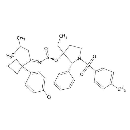 CCC1(O[S@](=O)/N=C(\CC(C)C)C2(c3ccc(Cl)cc3)CCC2)CCN(S(=O)(=O)c2ccc(C)cc2)[C@@H]1c1ccccc1